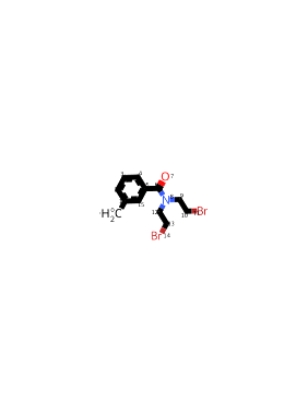 [CH2]c1cccc(C(=O)N(CCBr)CCBr)c1